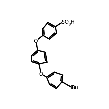 CCC(C)c1ccc(Oc2ccc(Oc3ccc(S(=O)(=O)O)cc3)cc2)cc1